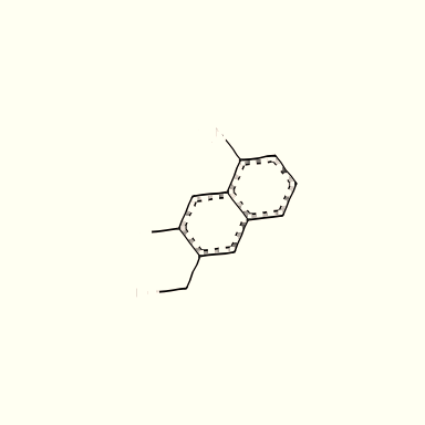 O=[N+]([O-])c1cccc2cc(CO)c(O)cc12